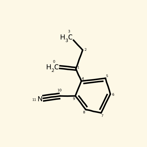 C=C(CC)c1ccccc1C#N